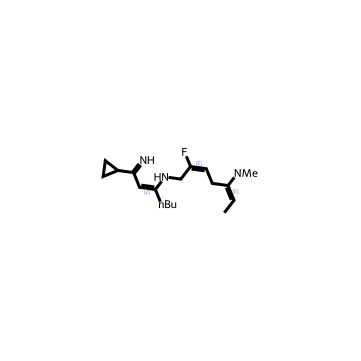 C/C=C(\C/C=C(/F)CN/C(=C\C(=N)C1CC1)CCCC)NC